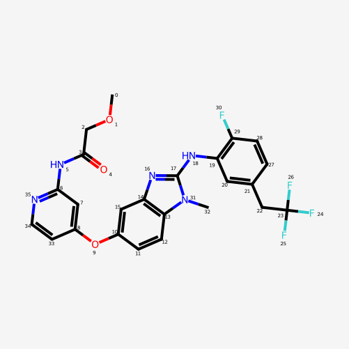 COCC(=O)Nc1cc(Oc2ccc3c(c2)nc(Nc2cc(CC(F)(F)F)ccc2F)n3C)ccn1